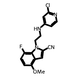 COc1ccc(F)c2c1cc(C#N)n2CCNc1ccnc(Cl)c1